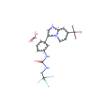 CC(C)(O)c1ccn2c(-c3cccc(NC(=O)NCC(F)(F)F)c3)cnc2c1.O=CO